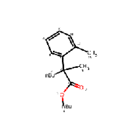 CCCCOC(=O)C(C)(CCCC)c1ccccc1C